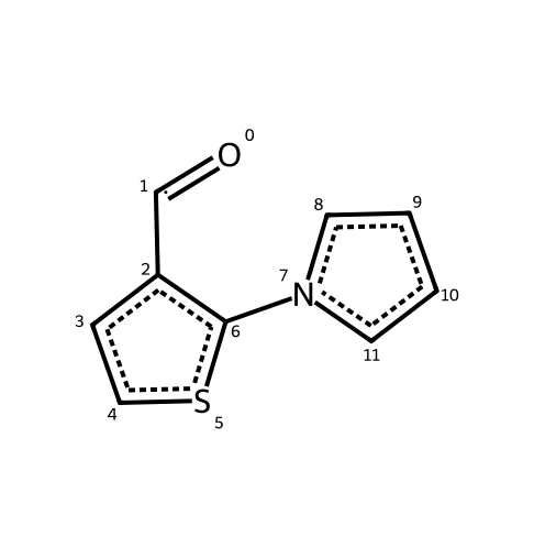 O=[C]c1ccsc1-n1cccc1